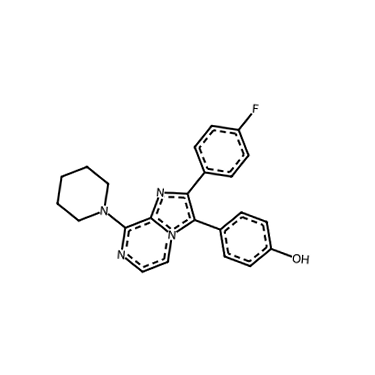 Oc1ccc(-c2c(-c3ccc(F)cc3)nc3c(N4CCCCC4)nccn23)cc1